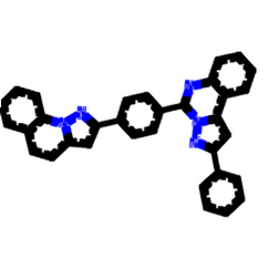 c1ccc(-c2cc3c4ccccc4nc(-c4ccc(-c5cc6ccc7ccccc7n6n5)cc4)n3n2)cc1